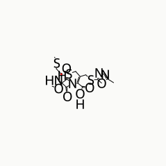 CO[C@@]1(NC(=O)CSC)C(=O)N2C(C(=O)O)=C(CSc3nnc(C)o3)CS[C@H]21